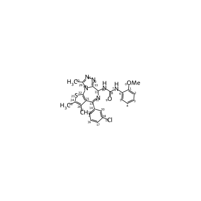 COc1ccccc1NC(=O)NC1N=C(c2cccc(Cl)c2)c2c(sc(C)c2C)-n2c(C)nnc21